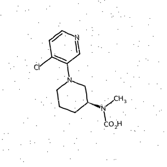 CN(C(=O)O)[C@H]1CCCN(c2cnccc2Cl)C1